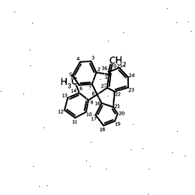 C=Cc1ccccc1C1(c2ccccc2C)c2ccccc2-c2ccccc21